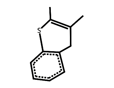 CC1=C(C)Sc2ccccc2C1